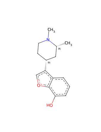 C[C@@H]1C[C@H](c2coc3c(O)cccc23)CCN1C